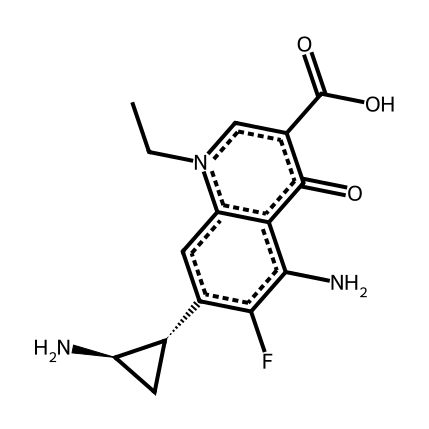 CCn1cc(C(=O)O)c(=O)c2c(N)c(F)c([C@@H]3C[C@H]3N)cc21